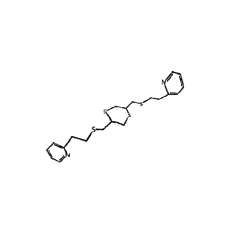 c1ccc(CCSCC2CSC(CSCCc3ccccn3)CS2)nc1